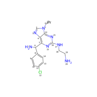 CC(C)n1cnc2c(C(N)c3ccc(Cl)cc3)nc(NCCN)nc21